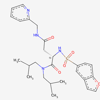 CC(C)CN(CC(C)C)C(=O)[C@H](CC(=O)NCc1ccccn1)NS(=O)(=O)c1ccc2occc2c1